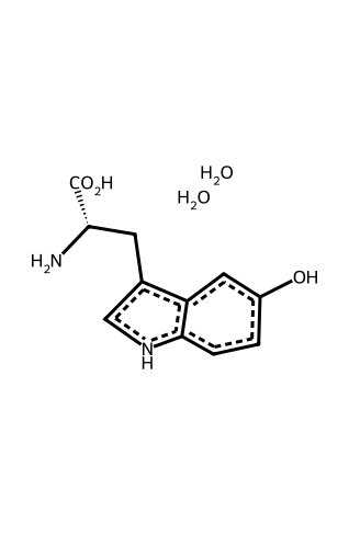 N[C@@H](Cc1c[nH]c2ccc(O)cc12)C(=O)O.O.O